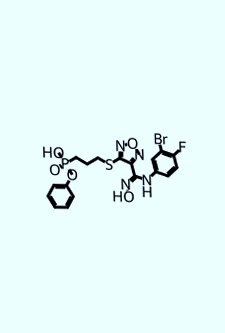 O=P(O)(CCCSc1nonc1/C(=N/O)Nc1ccc(F)c(Br)c1)Oc1ccccc1